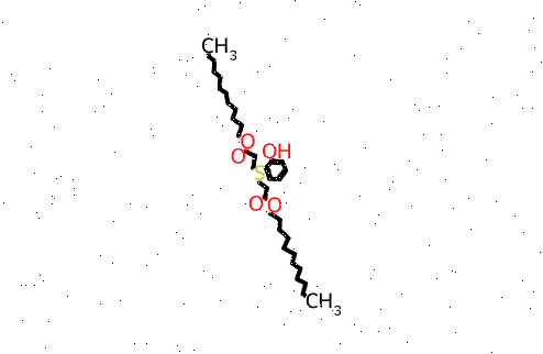 CCCCCCCCCCCCOC(=O)CCSCCC(=O)OCCCCCCCCCCCC.Oc1ccccc1